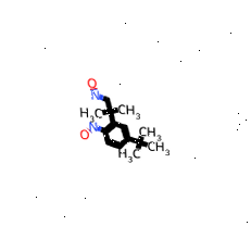 CC(C)(C)c1ccc(N=O)c(C(C)(C)CN=O)c1